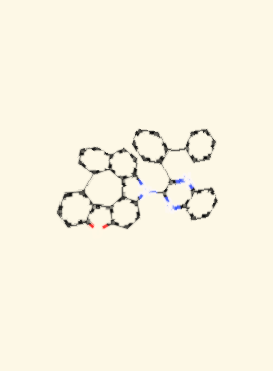 c1ccc(-c2ccccc2-c2nc3ccccc3nc2-n2c3ccc4cccc5c4c3c3c4c(ccc32)oc2cccc-5c24)cc1